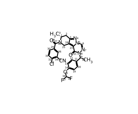 C[C@@H]1Cc2nn3cnn([C@@H](C)c4ccc(OC(F)F)cc4)c(=O)c3c2CN1C(=O)c1ccc(Cl)c(C#N)c1